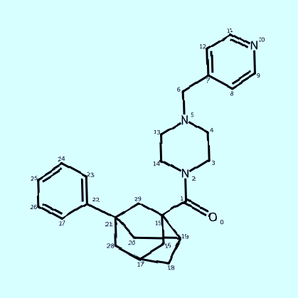 O=C(N1CCN(Cc2ccncc2)CC1)C12CC3CC1CC(c1ccccc1)(C3)C2